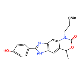 COCCN1C(=O)OC(C)c2cc3[nH]c(-c4ccc(O)cc4)nc3cc21